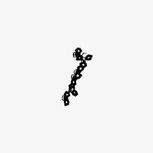 Cc1ccccc1N(c1ccc2cc3c(cc2c1)oc1c3ccc2c3cc4c5cc(cc4cc3oc21)N(c1ccc2oc3ccccc3c2c1)c1ccccc1-5)c1ccc2oc3ccccc3c2c1